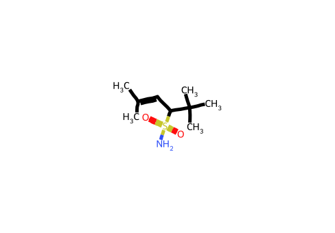 CC(C)=CC(C(C)(C)C)S(N)(=O)=O